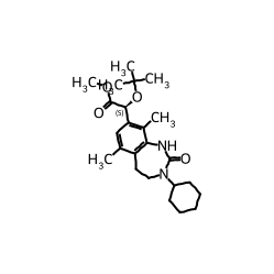 COC(=O)[C@@H](OC(C)(C)C)c1cc(C)c2c(c1C)NC(=O)N(C1CCCCC1)CC2